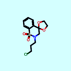 O=S1(=O)c2ccccc2C2(CN1CCCCl)OCCO2